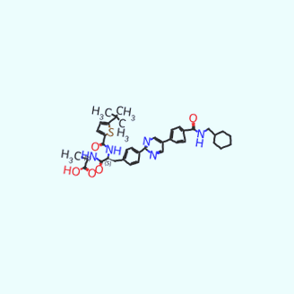 C[C@@H](NC(=O)[C@H](Cc1ccc(-c2ncc(-c3ccc(C(=O)NCC4CCCCC4)cc3)cn2)cc1)NC(=O)c1ccc(C(C)(C)C)s1)C(=O)O